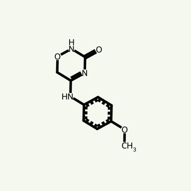 COc1ccc(NC2=NC(=O)NOC2)cc1